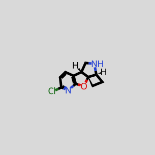 Clc1ccc2c(n1)O[C@@]13CC[C@@H]1NC[C@@H]23